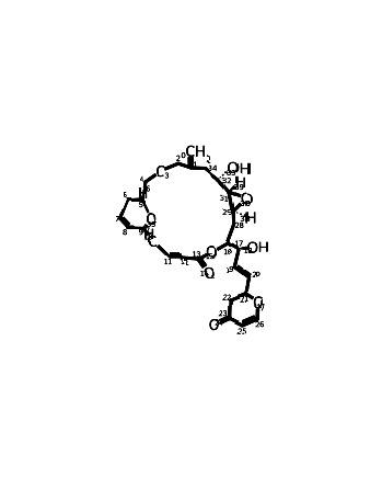 C=C1CCC[C@@H]2CC=C[C@@H](C/C=C\C(=O)OC([C@@H](O)/C=C/C3CC(=O)C=CO3)C[C@@H]3O[C@H]3[C@@H](O)C1)O2